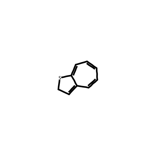 C1=CC=C2SCC=C2C=C1